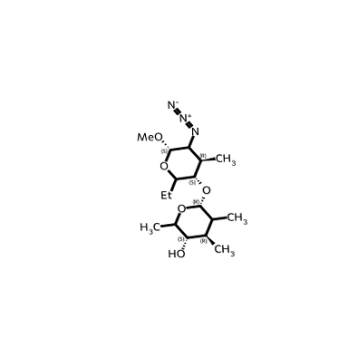 CCC1O[C@H](OC)C(N=[N+]=[N-])[C@@H](C)[C@@H]1O[C@H]1OC(C)[C@@H](O)[C@H](C)C1C